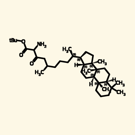 CC(CCC[C@@H](C)[C@H]1CC[C@]2(C)[C@@H]1CC[C@@H]1[C@@]3(C)CCCC(C)(C)[C@@H]3CC[C@]12C)CC(=O)C(N)C(=O)OC(C)(C)C